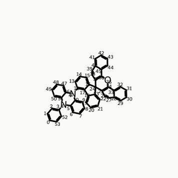 c1ccc(N2c3ccccc3N(c3cccc4c3-c3ccccc3C43c4ccc5ccccc5c4Oc4c3ccc3ccccc43)c3ccccc32)cc1